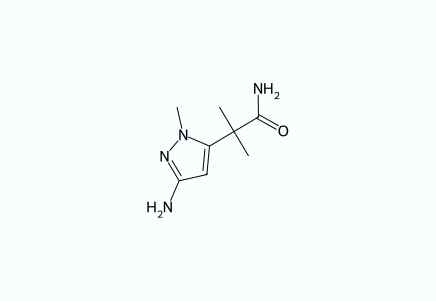 Cn1nc(N)cc1C(C)(C)C(N)=O